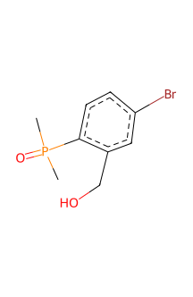 CP(C)(=O)c1ccc(Br)cc1CO